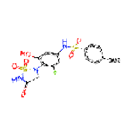 COc1ccc(S(=O)(=O)Nc2cc(O)c(N3CC(=O)NS3(=O)=O)c(F)c2)cc1